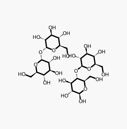 OC[C@H]1O[C@@H](O[C@H]2[C@H](O)[C@@H](O)[C@H](O)O[C@@H]2CO)[C@H](O)[C@@H](O)[C@@H]1O.OC[C@H]1O[C@H](O[C@H]2O[C@H](CO)[C@@H](O)[C@H](O)[C@H]2O)[C@H](O)[C@@H](O)[C@@H]1O